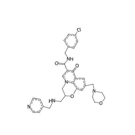 O=C(NCc1ccc(Cl)cc1)c1cn2c3c(cc(CN4CCOCC4)cc3c1=O)OC(CNCc1ccncc1)C2